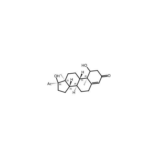 CC(=O)[C@@]1(O)CC[C@H]2[C@@H]3CCC4=CC(=O)CC(O)[C@]4(C)[C@H]3CC[C@@]21C